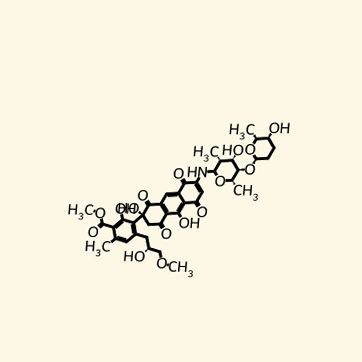 COC[C@H](O)Cc1cc(C)c(C(=O)OC)c(O)c1[C@@]1(O)CC(=O)c2c(cc3c(c2O)C(=O)C=C(NC2O[C@@H](C)[C@H](O[C@@H]4CC[C@H](O)[C@H](C)O4)[C@@H](O)[C@H]2C)C3=O)C1=O